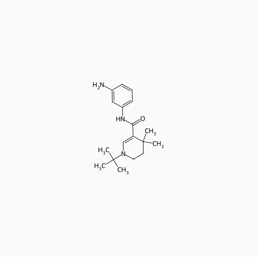 CC1(C)CCN(C(C)(C)C)C=C1C(=O)Nc1cccc(N)c1